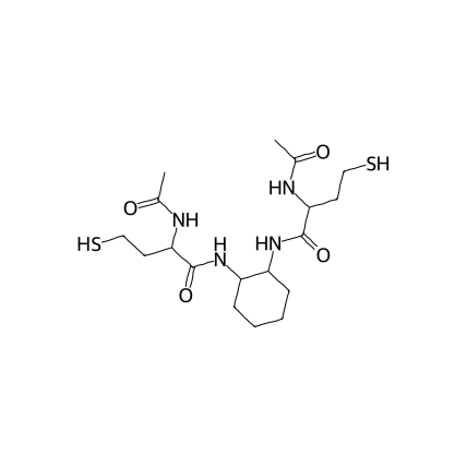 CC(=O)NC(CCS)C(=O)NC1CCCCC1NC(=O)C(CCS)NC(C)=O